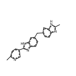 Cc1ccc(-c2nc3ccc(Cc4ccc5nc(C)[nH]c5c4)cc3[nH]2)cn1